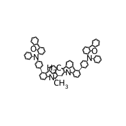 C=c1/c(=C\c2c(C)n3c4cccc(-c5ccc(N(c6ccccc6)c6cccc7c6oc6ccccc67)cc5)c4c4cccc2c43)n2c3cccc(-c4ccc(N(c5ccccc5)c5cccc6c5oc5ccccc56)cc4)c3c3cccc1c32